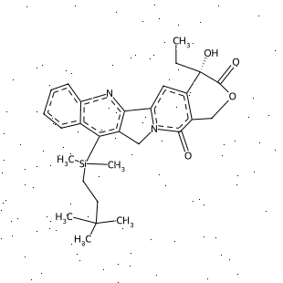 CC[C@@]1(O)C(=O)OCc2c1cc1n(c2=O)Cc2c-1nc1ccccc1c2[Si](C)(C)CCC(C)(C)C